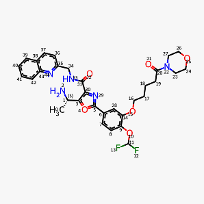 C[C@H](N)c1oc(-c2ccc(OC(F)F)c(OCCCCC(=O)N3CCOCC3)c2)nc1C(=O)NCc1ccc2ccccc2n1